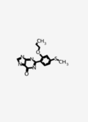 CCCOc1cc(SC)ccc1C1=NC(=O)C2=NC=NC2=N1